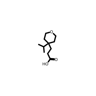 CC(C)C1(CCC(=O)O)CCOCC1